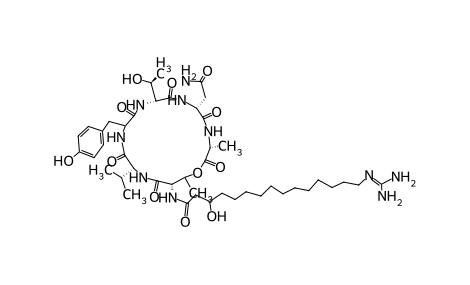 CC1OC(=O)[C@@H](C)NC(=O)[C@@H](CC(N)=O)NC(=O)[C@@H]([C@H](C)O)NC(=O)C(Cc2ccc(O)cc2)NC(=O)[C@@H](C(C)C)NC(=O)[C@H]1NC(=O)CC(O)CCCCCCCCCCCCN=C(N)N